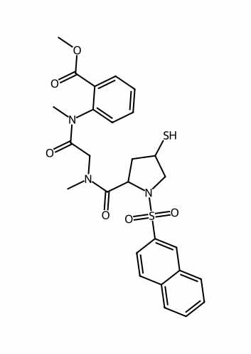 COC(=O)c1ccccc1N(C)C(=O)CN(C)C(=O)C1CC(S)CN1S(=O)(=O)c1ccc2ccccc2c1